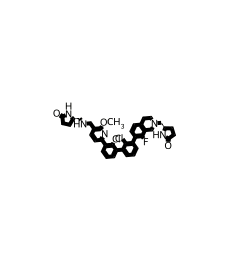 COc1nc(-c2cccc(-c3cccc(-c4ccc5c(c4F)CN(C[C@@H]4CCC(=O)N4)CC5)c3Cl)c2Cl)ccc1CNC[C@@H]1CCC(=O)N1